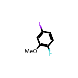 COc1cc(I)ccc1F